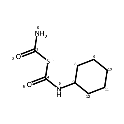 NC(=O)SC(=O)NC1CCCCC1